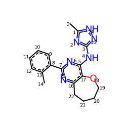 Cc1nc(Nc2nc(-c3ccccc3C)nc3c2OCCCC3)n[nH]1